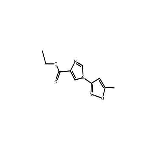 CCOC(=O)c1cn(-c2cc(C)on2)cn1